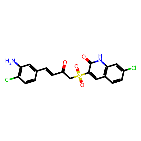 Nc1cc(C=CC(=O)CS(=O)(=O)c2cc3ccc(Cl)cc3[nH]c2=O)ccc1Cl